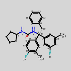 O=C(NC1CCCC1)N[C@@](Cc1ccccc1)(c1cc(F)cc(C(F)(F)F)c1)c1ccc(F)c(C(F)(F)F)c1